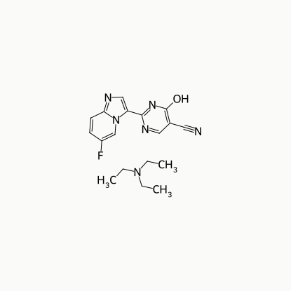 CCN(CC)CC.N#Cc1cnc(-c2cnc3ccc(F)cn23)nc1O